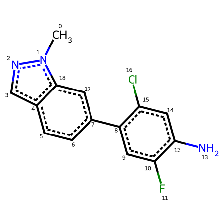 Cn1ncc2ccc(-c3cc(F)c(N)cc3Cl)cc21